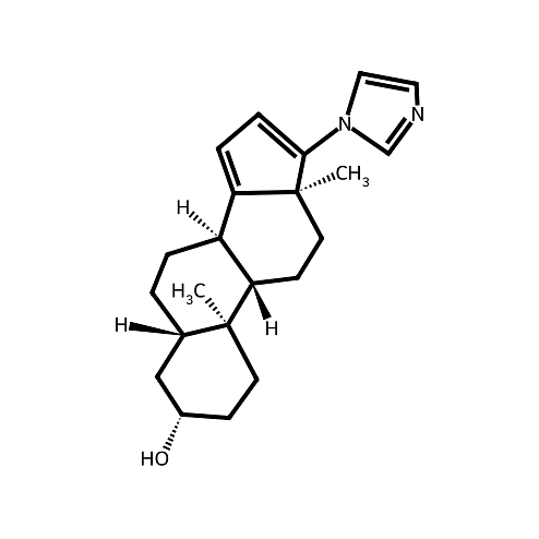 C[C@]12CC[C@H]3[C@@H](CC[C@H]4C[C@@H](O)CC[C@@]43C)C1=CC=C2n1ccnc1